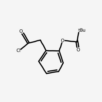 CC(C)(C)C(=O)Oc1ccccc1CC(=O)Cl